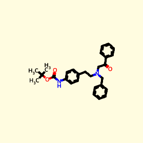 CC(C)(C)OC(=O)Nc1ccc(CCN(CC(=O)c2ccccc2)Cc2ccccc2)cc1